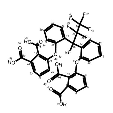 O=C(O)c1cccc(Oc2ccccc2C(F)(c2ccccc2Oc2cccc(C(=O)O)c2C(=O)O)C(F)(F)C(F)(F)F)c1C(=O)O